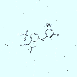 [CH2]c1cc(F)cc(Oc2ccc(S(=O)(=O)C(F)(F)F)c3c2CC(F)C3N)c1